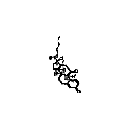 CCCCC[S@@+]([O-])[C@@]1(Cl)CC[C@H]2[C@@H]3CCC4=CC(=O)C=C[C@]4(C)[C@H]3C(=O)C[C@@]21C